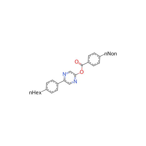 CCCCCCCCCc1ccc(C(=O)Oc2cnc(-c3ccc(CCCCCC)cc3)cn2)cc1